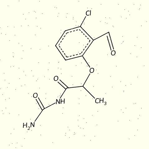 CC(Oc1cccc(Cl)c1C=O)C(=O)NC(N)=O